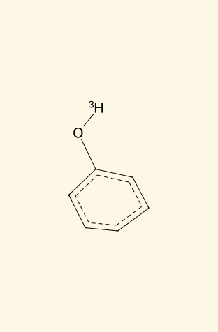 [3H]Oc1ccccc1